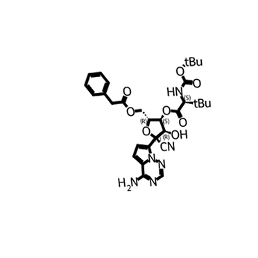 CC(C)(C)OC(=O)N[C@H](C(=O)O[C@H]1[C@@H](O)[C@](C#N)(c2ccc3c(N)ncnn23)O[C@@H]1COC(=O)Cc1ccccc1)C(C)(C)C